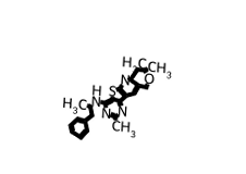 Cc1nc(NC(C)Cc2ccccc2)c2sc3nc4c(cc3c2n1)COC(C)(C)C4